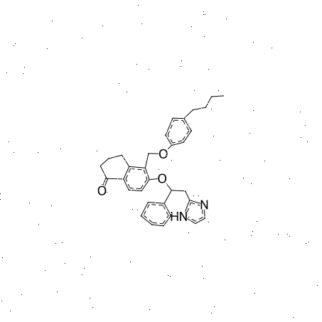 CCCCc1ccc(OCc2c(OC(Cc3ncc[nH]3)c3ccccc3)ccc3c2CCCC3=O)cc1